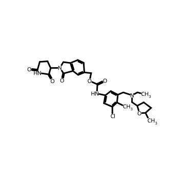 CCN(Cc1cc(NC(=O)OCc2ccc3c(c2)C(=O)N(C2CCC(=O)NC2=O)C3)cc(Cl)c1C)CC1CCC(C)O1